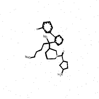 COCCCCC(O)(c1ccccc1-c1cccc(F)c1)C1CCCN(C(=O)C2CCC(N)C2)C1